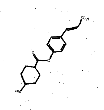 CCCCC1CCC(C(=O)Oc2ccc(/C=C/C(=O)O)cc2)CC1